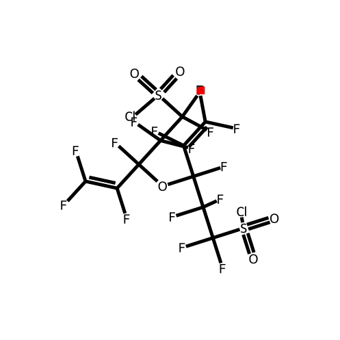 O=S(=O)(Cl)C(F)(F)C(F)(F)C(F)(OC(F)(C(F)=C(F)F)C(F)(F)C(F)(F)S(=O)(=O)Cl)C(F)=C(F)F